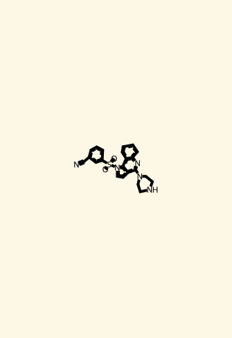 N#Cc1cccc(S(=O)(=O)n2ccc3c(N4CCNCC4)nc4ccccc4c32)c1